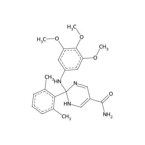 COc1cc(NC2(c3c(C)cccc3C)N=CC(C(N)=O)=CN2)cc(OC)c1OC